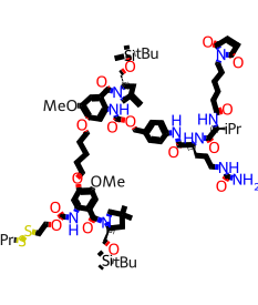 C=C1C[C@@H](CO[Si](C)(C)C(C)(C)C)N(C(=O)c2cc(OC)c(OCCCCCOc3cc(NC(=O)OCCSSC(C)C)c(C(=O)N4CC(C)(C)C[C@H]4CO[Si](C)(C)C(C)(C)C)cc3OC)cc2NC(=O)OCc2ccc(NC(=O)[C@H](CCCNC(N)=O)NC(=O)[C@@H](NC(=O)CCCCCN3C(=O)C=CC3=O)C(C)C)cc2)C1